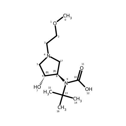 COCCN1C[C@@H](O)[C@H](N(C(=O)O)C(C)(C)C)C1